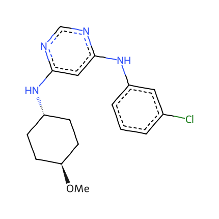 CO[C@H]1CC[C@H](Nc2cc(Nc3cccc(Cl)c3)ncn2)CC1